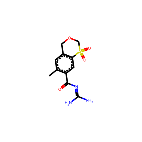 Cc1cc2c(cc1C(=O)N=C(N)N)S(=O)(=O)COC2